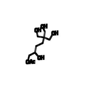 CC(=O)OCC(O)CCC(CO)(CO)CO